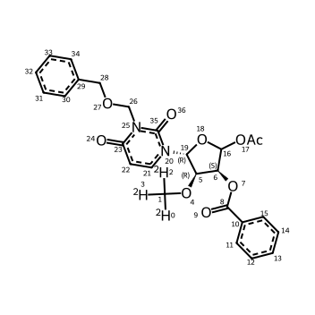 [2H]C([2H])([2H])O[C@@H]1[C@H](OC(=O)c2ccccc2)C(OC(C)=O)O[C@H]1n1ccc(=O)n(COCc2ccccc2)c1=O